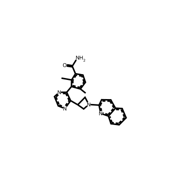 Cc1ccc(C(N)=O)c(C)c1-c1nccnc1C1CN(c2ccc3ccccc3n2)C1